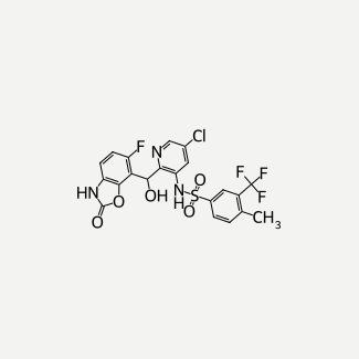 Cc1ccc(S(=O)(=O)Nc2cc(Cl)cnc2C(O)c2c(F)ccc3[nH]c(=O)oc23)cc1C(F)(F)F